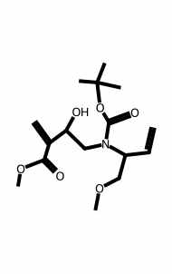 C=CC(COC)N(CC(O)C(=C)C(=O)OC)C(=O)OC(C)(C)C